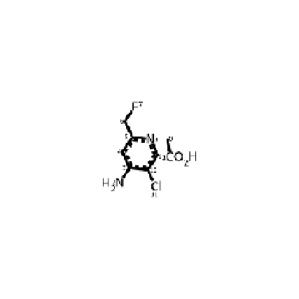 CC(=O)O.Nc1cc(CF)ncc1Cl